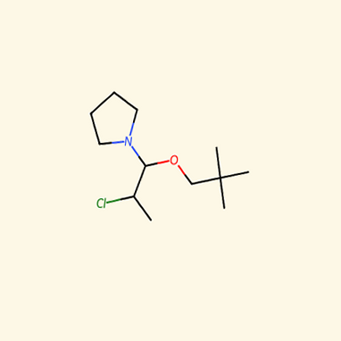 CC(Cl)C(OCC(C)(C)C)N1CCCC1